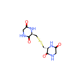 O=C1CNC(=O)[C@H](CSSC[C@@H]2NC(=O)CNC2=O)N1